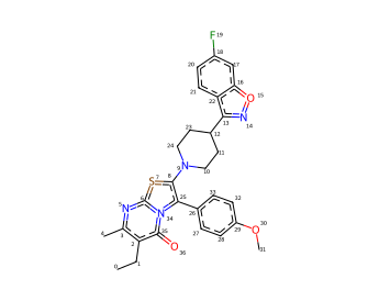 CCc1c(C)nc2sc(N3CCC(c4noc5cc(F)ccc45)CC3)c(-c3ccc(OC)cc3)n2c1=O